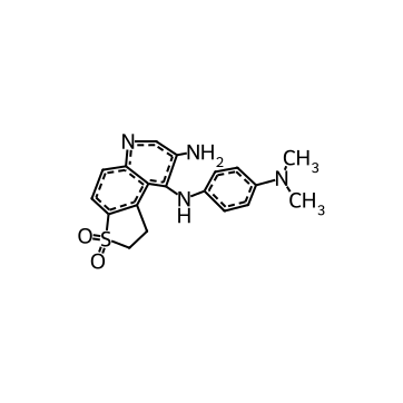 CN(C)c1ccc(Nc2c(N)cnc3ccc4c(c23)CCS4(=O)=O)cc1